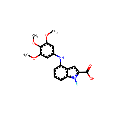 COc1cc(Nc2cccc3c2cc(C(=O)O)n3F)cc(OC)c1OC